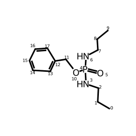 CCCNP(=O)(NCCC)OCc1ccccc1